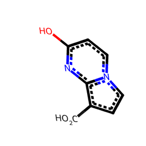 O=C(O)c1ccn2ccc(O)nc12